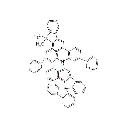 CC1(C)c2ccccc2-c2cc(-c3ccc(-c4ccccc4)cc3N(c3ccc4c(c3)-c3ccccc3C43c4ccccc4-c4ccccc43)c3cccc(-c4ccccc4)c3-c3ccccc3)ccc21